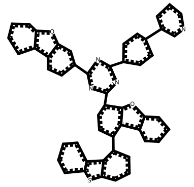 c1cncc(-c2ccc(-c3nc(-c4ccc5c(c4)oc4ccccc45)nc(-c4ccc(-c5cccc6sc7ccccc7c56)c5c4oc4ccccc45)n3)cc2)c1